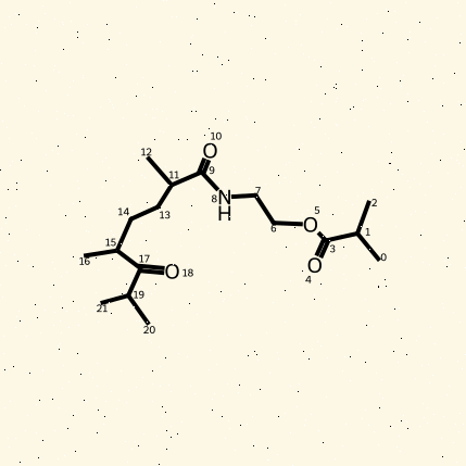 CC(C)C(=O)OCCNC(=O)C(C)CCC(C)C(=O)C(C)C